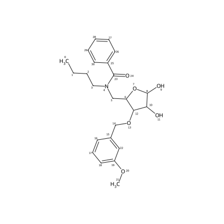 CCCCN(CC1OC(O)C(O)C1OCc1cccc(OC)c1)C(=O)c1ccccc1